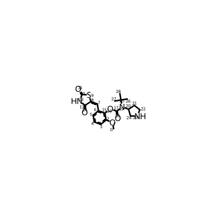 COc1cccc(C=C2SC(=O)NC2=O)c1OC(=O)N(C1CCNC1)C(C)(C)C